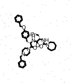 CC(C)C[C@H](NC(=O)N1CCCCCC1)C(=O)N[C@@H](Cc1ccc(OCc2ccccc2)cc1)C(=O)N1CCN(Cc2ccccc2)CC1